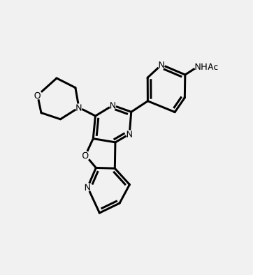 CC(=O)Nc1ccc(-c2nc(N3CCOCC3)c3oc4ncccc4c3n2)cn1